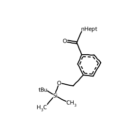 CCCCCCCC(=O)c1cccc(CO[Si](C)(C)C(C)(C)C)c1